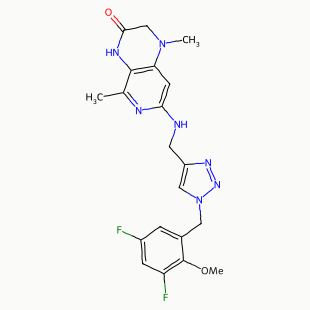 COc1c(F)cc(F)cc1Cn1cc(CNc2cc3c(c(C)n2)NC(=O)CN3C)nn1